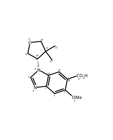 COc1cc2ncn([C@@H]3COCC3(C)C)c2cc1C(=O)O